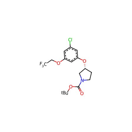 CC(C)(C)OC(=O)N1CC[C@@H](Oc2cc(Cl)cc(OCC(F)(F)F)c2)C1